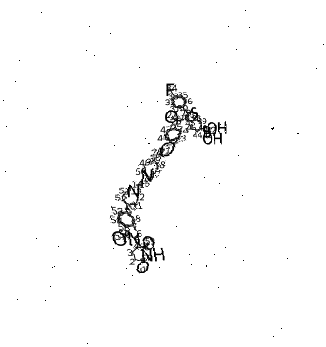 O=C1CCC(N2Cc3cc(C4CCN(CCN5CCC(COc6ccc(C(=O)c7c(-c8ccc(F)cc8)sc8cc(B(O)O)ccc78)cc6)CC5)CC4)ccc3C2=O)C(=O)N1